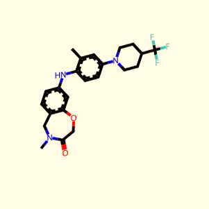 Cc1cc(N2CCC(C(F)(F)F)CC2)ccc1Nc1ccc2c(c1)OCC(=O)N(C)C2